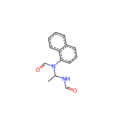 CC(NC=O)N(C=O)c1cccc2ccccc12